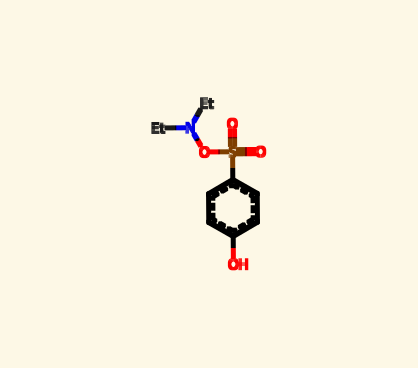 CCN(CC)OS(=O)(=O)c1ccc(O)cc1